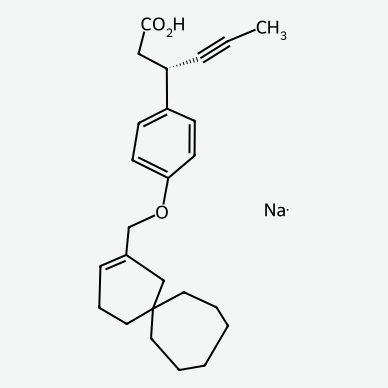 CC#C[C@@H](CC(=O)O)c1ccc(OCC2=CCCC3(CCCCCC3)C2)cc1.[Na]